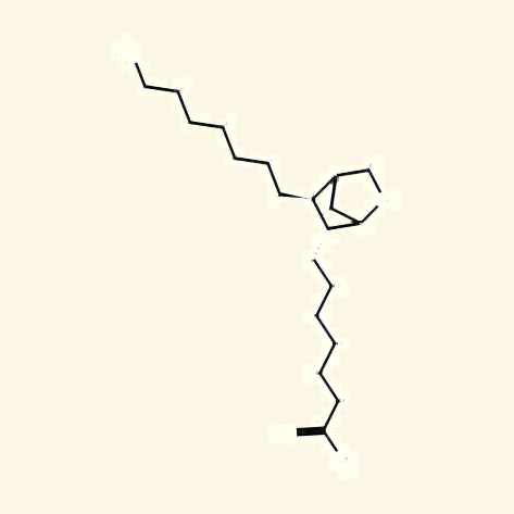 CCCCCCCC[C@H]1C2COC(C2)[C@@H]1CCCCCCC(=O)O